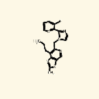 CCCc1c(Cn2ccnc2-c2ncccc2F)ncc2sc(C)nc12